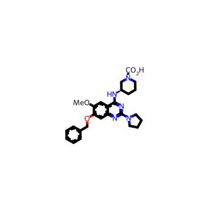 COc1cc2c(N[C@@H]3CCCN(C(=O)O)C3)nc(N3CCCC3)nc2cc1OCc1ccccc1